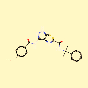 COc1ccc(C(=O)Nc2n[nH]c3sc(C(=O)NC(C)(C)c4ccccc4)nc23)cc1